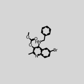 COC(=O)Oc1c(C)nc2ccc(Br)cc2c1NCc1ccccc1